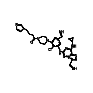 N=Cc1cc(Nc2nc(NC3CC3)c3ncc(C=N)n3n2)c(Cl)c(N2CCN(C(=O)CCCC3C=CN=C3)CC2)c1